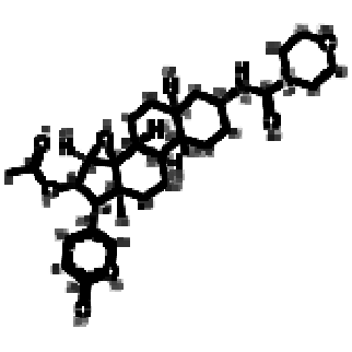 CC(=O)O[C@H]1[C@H]2O[C@]23[C@@H]2CC[C@@H]4C[C@@H](NC(=O)N5CCOCC5)CC[C@]4(C)[C@H]2CC[C@]3(C)[C@H]1c1ccc(=O)oc1